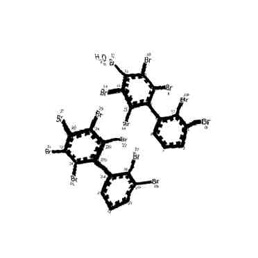 Brc1cccc(-c2c(Br)c(Br)c(Br)c(Br)c2Br)c1Br.Brc1cccc(-c2c(Br)c(Br)c(Br)c(Br)c2Br)c1Br.O